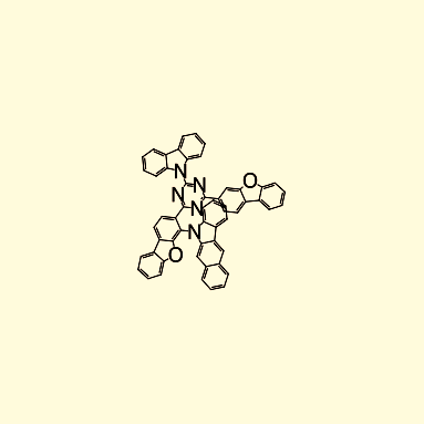 c1ccc2cc3c(cc2c1)c1ccccc1n3-c1c(-c2nc(-c3ccc4c(c3)oc3ccccc34)nc(-n3c4ccccc4c4ccccc43)n2)ccc2c1oc1ccccc12